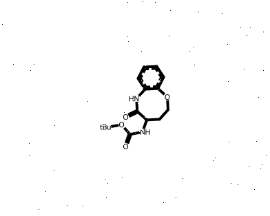 CC(C)(C)OC(=O)NC1CCOc2ccccc2NC1=O